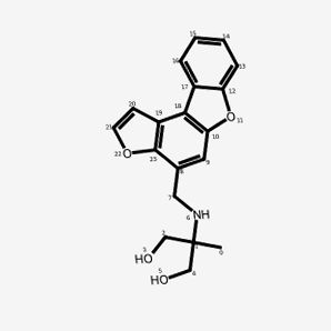 CC(CO)(CO)NCc1cc2oc3ccccc3c2c2ccoc12